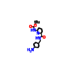 CC(C)(C)OC(=O)Nc1cccc(C(=O)NCc2ccc(N)cc2)n1